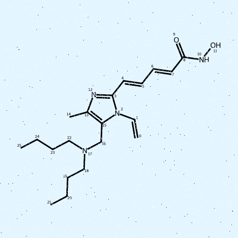 C=Cn1c(/C=C/C=C/C(=O)NO)nc(C)c1CN(CCCC)CCCC